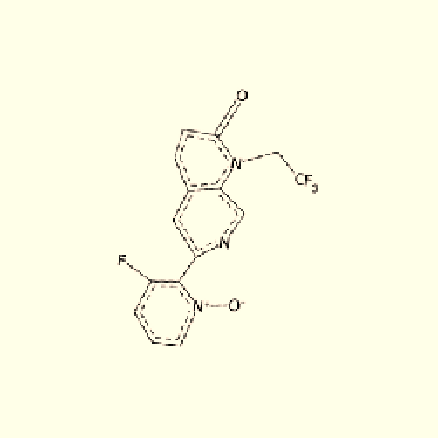 O=c1ccc2cc(-c3c(F)ccc[n+]3[O-])ncc2n1CC(F)(F)F